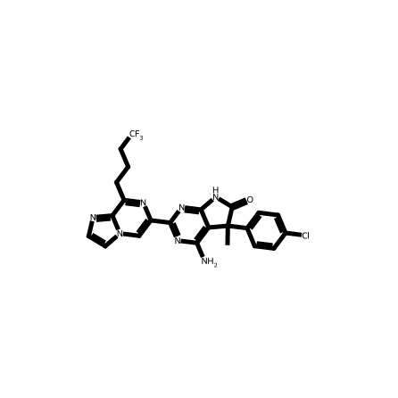 CC1(c2ccc(Cl)cc2)C(=O)Nc2nc(-c3cn4ccnc4c(CCCC(F)(F)F)n3)nc(N)c21